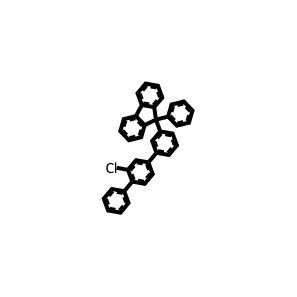 Clc1cc(-c2cccc(C3(c4ccccc4)c4ccccc4-c4ccccc43)c2)ccc1-c1ccccc1